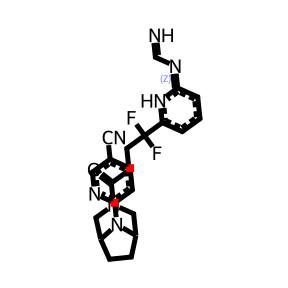 N#Cc1ccc(N2C3CCC2CN(C(=O)CCC(F)(F)c2ccc/c(=N/C=N)[nH]2)C3)nc1